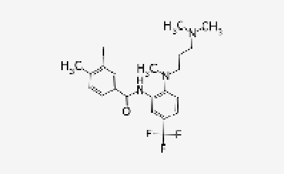 Cc1ccc(C(=O)Nc2cc(C(F)(F)F)ccc2N(C)CCCN(C)C)cc1I